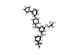 FC(F)(F)COc1nc(Nc2cccc(C(F)(F)F)c2)nc(NC2CCN(c3ccnc(N4CCCC4)n3)CC2)n1